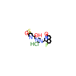 Cl.O=c1ccc2ccc(F)c3c2n1CC3CN1CCN(CC(O)c2cc3c(cn2)OCS3)CC1